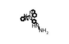 Cn1c(CN(Cc2ccc(CNCCN)cc2)C2CCCc3cccnc32)nc2ccccc21